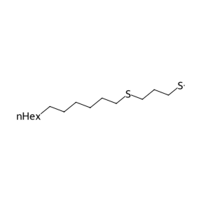 CCCCCCCCCCCCSCCC[S]